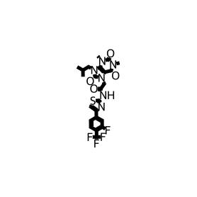 CC(C)Cn1c(=O)n(CC(=O)Nc2nc(-c3ccc(C(F)(F)F)c(F)c3)cs2)c2c(=O)n(C)c(=O)n(C)c21